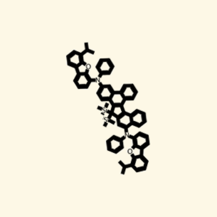 CC(C)c1cccc2c1oc1c(N(c3ccccc3)c3ccc4c5c(c6ccccc6c4c3)-c3c(cc(N(c4ccccc4)c4cccc6c4oc4c(C(C)C)cccc46)c4ccccc34)C5([Si](C)(C)C)[Si](C)(C)C)cccc12